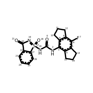 O=C(Nc1c2c(c(F)c3c1CCC3)CCC2)NS1(=O)=NC(=O)c2ccccc21